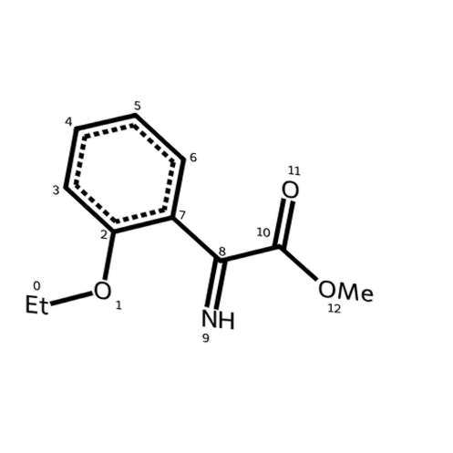 CCOc1ccccc1C(=N)C(=O)OC